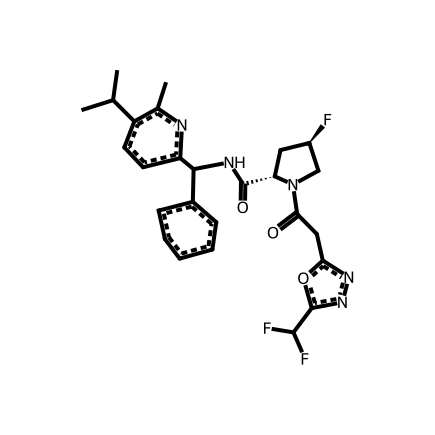 Cc1nc(C(NC(=O)[C@@H]2C[C@@H](F)CN2C(=O)Cc2nnc(C(F)F)o2)c2ccccc2)ccc1C(C)C